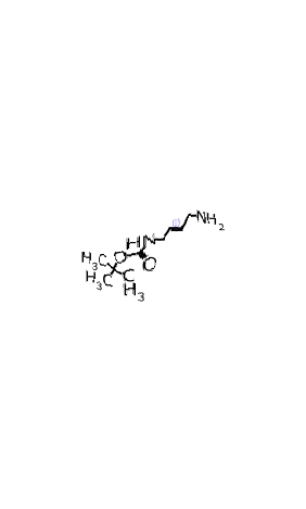 CC(C)(C)OC(=O)NC/C=C/CN